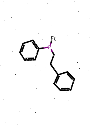 CCP(CCc1ccccc1)c1ccccc1